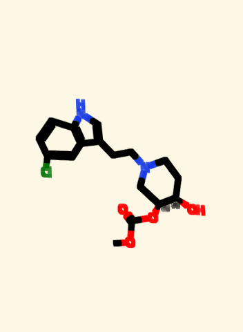 COC(=O)O[C@H]1CN(CCc2c[nH]c3ccc(Cl)cc23)CC[C@H]1O